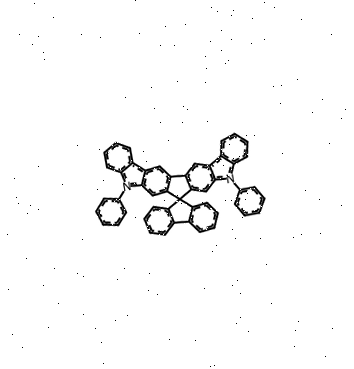 c1ccc(-n2c3ccccc3c3cc4c(cc32)C2(c3ccccc3-c3ccccc32)c2cc3c(cc2-4)c2ccccc2n3-c2ccccc2)cc1